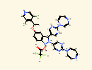 CC(Oc1ccc2c(c1)C(c1cnc(N3C=CC=NC=C3)nc1)N(c1cnc(N3C=CC=NC=C3)nc1)N2OC(=O)C(F)(F)F)c1c(Cl)cncc1Cl